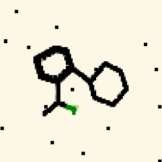 CC(F)c1ccccc1C1CCCCC1